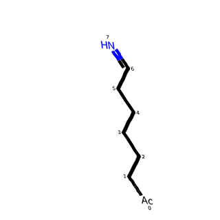 CC(=O)CCCCCC=N